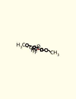 CCCC1CCC(c2ccc(CC(=O)c3ccc(OCC4CCC(C)CC4)c(F)c3C(F)(F)F)cc2)CC1